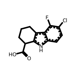 O=C(O)C1CCCc2c1[nH]c1ccc(Cl)c(F)c21